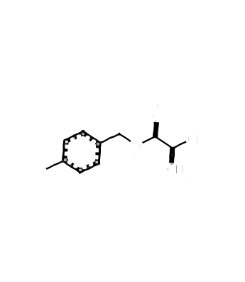 C=C(C)C(=O)OCc1ccc(I)cc1